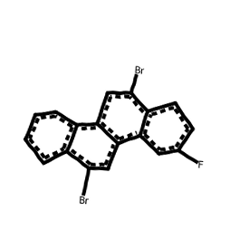 Fc1ccc2c(Br)cc3c4ccccc4c(Br)cc3c2c1